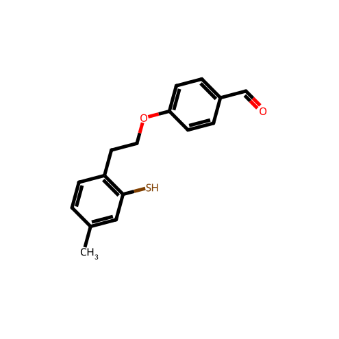 Cc1ccc(CCOc2ccc(C=O)cc2)c(S)c1